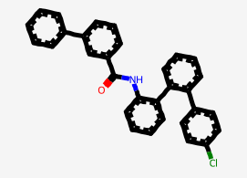 O=C(Nc1ccccc1-c1ccccc1-c1ccc(Cl)cc1)c1cccc(-c2ccccc2)c1